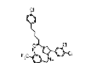 CN(Cc1ccc(C(F)(F)F)c(F)c1)C1CN(C(=O)CCCCc2ccc(Cl)cc2)CC1c1ccc(Cl)c(Cl)c1